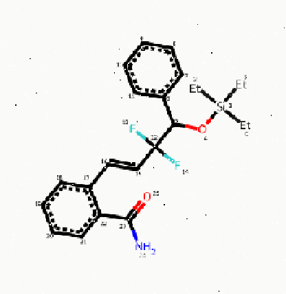 CC[Si](CC)(CC)OC(c1ccccc1)C(F)(F)C=Cc1ccccc1C(N)=O